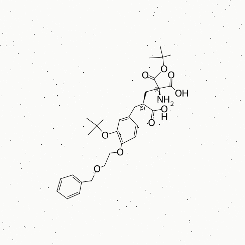 CC(C)(C)OC(=O)[C@@](N)(C[C@H](Cc1ccc(OCCOCc2ccccc2)c(OC(C)(C)C)c1)C(=O)O)C(=O)O